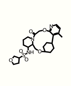 Cc1ccnc2c1C1CCC(CC1)OCC1C(NS(=O)(=O)C3CCOC3)CCCN1C(=O)CO2